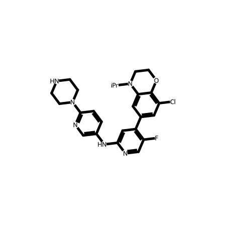 CC(C)N1CCOc2c(Cl)cc(-c3cc(Nc4ccc(N5CCNCC5)nc4)ncc3F)cc21